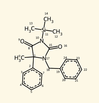 CC1(c2ccccc2)C(=O)N([Si](C)(C)C)C(=O)N1Cc1ccccc1